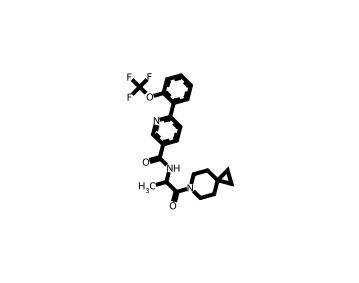 CC(NC(=O)c1ccc(-c2ccccc2OC(F)(F)F)nc1)C(=O)N1CCC2(CC1)CC2